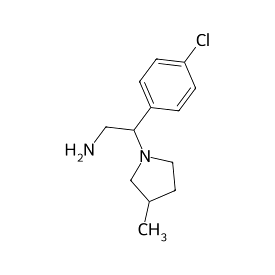 CC1CCN(C(CN)c2ccc(Cl)cc2)C1